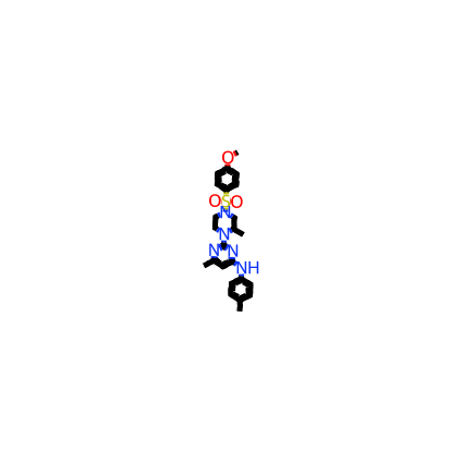 COc1ccc(S(=O)(=O)N2CCN(c3nc(C)cc(Nc4ccc(C)cc4)n3)C(C)C2)cc1